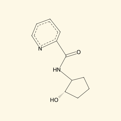 O=C(NC1CCC[C@@H]1O)c1ccccn1